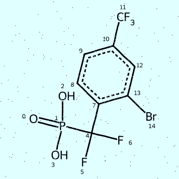 O=P(O)(O)C(F)(F)c1ccc(C(F)(F)F)cc1Br